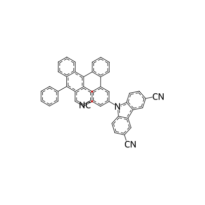 N#Cc1cc(-c2ccccc2-c2c3ccccc3c(-c3ccccc3)c3ccccc23)cc(-n2c3ccc(C#N)cc3c3cc(C#N)ccc32)c1